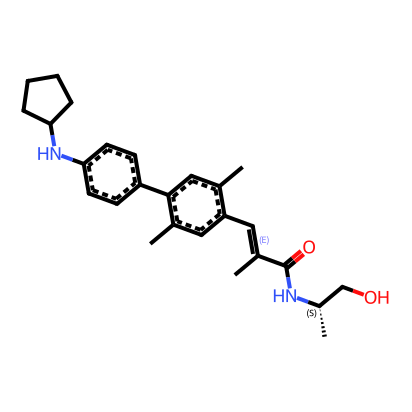 C/C(=C\c1cc(C)c(-c2ccc(NC3CCCC3)cc2)cc1C)C(=O)N[C@@H](C)CO